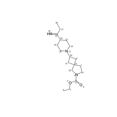 CCOC(=O)N1CCC2(CC(N3CCC(C(=N)CC)CC3)C2)C1